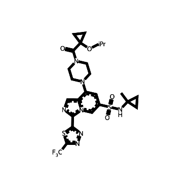 CC(C)OC1(C(=O)N2CCN(c3cc(S(=O)(=O)NC4(C)CC4)cn4c(-c5nnc(C(F)(F)F)s5)ncc34)CC2)CC1